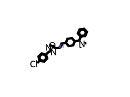 CN(C)C(c1ccccc1)C1CCC(/C=C/c2nc(-c3ccc(Cl)cc3)no2)CC1